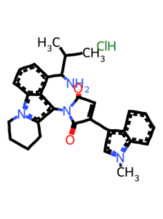 CC(C)C(N)c1cccc2c1c(N1C(=O)C=C(c3cn(C)c4ccccc34)C1=O)c1n2CCCC1.Cl